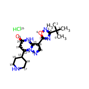 CC(C)(C)c1noc(-c2cnn3c(C4CCNCC4)cc(=O)[nH]c23)n1.Cl